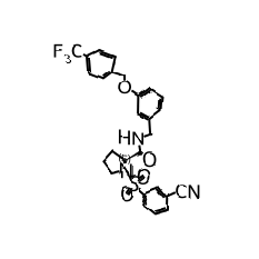 N#Cc1cccc(S(=O)(=O)N2CCC[C@H]2C(=O)NCc2cccc(OCc3ccc(C(F)(F)F)cc3)c2)c1